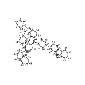 c1ccc2c(c1)CC1(C2)c2ccccc2-c2c(N(c3ccc(-c4ccc5c(c4)oc4ccccc45)cc3)c3ccc(-c4cccc5ccccc45)cc3)cccc21